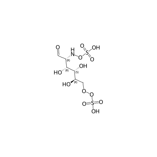 O=C[C@H](NOS(=O)(=O)O)[C@@H](O)[C@H](O)[C@H](O)COOS(=O)(=O)O